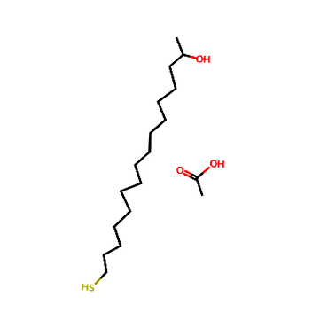 CC(=O)O.CC(O)CCCCCCCCCCCCCCS